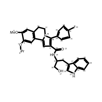 COc1cc2c(cc1OC(C)C)-c1cc(C(=O)NC(CO)Cc3c[nH]c4ccccc34)c(-c3ccc(F)cc3)n1CC2